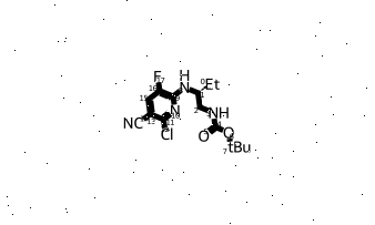 CC[C@H](CNC(=O)OC(C)(C)C)Nc1nc(Cl)c(C#N)cc1F